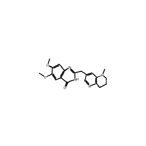 COc1cc2nc(Cc3cnc4c(c3)N(C)CCC4)[nH]c(=O)c2cc1OC